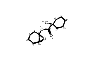 [O]C1(C(=O)OC23CCCCC2O3)CCCCC1